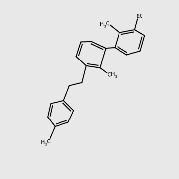 CCc1cccc(-c2cccc(CCc3ccc(C)cc3)c2C)c1C